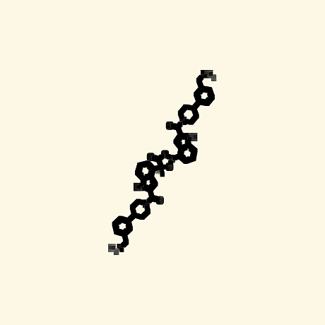 C[C@]1(c2cccc3[nH]c(C(=O)N4CCC(c5cccc(CN)c5)CC4)cc23)OB(c2cccc3[nH]c(C(=O)N4CCC(c5cccc(CN)c5)CC4)cc23)OC1=O